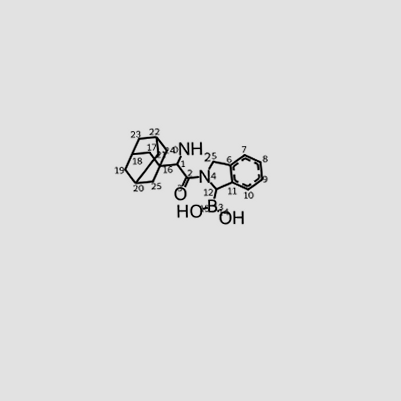 NC(C(=O)N1Cc2ccccc2C1B(O)O)C12CC3CC(CC(C3)C1)C2